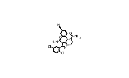 N#Cc1ccc(C2c3c(C(N)=O)c(-c4cc(Cl)ccc4Cl)nn3CCN2C(N)=O)cc1